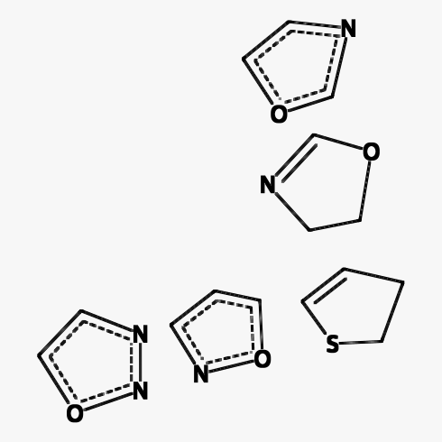 C1=CSCC1.C1=NCCO1.c1cnoc1.c1cocn1.c1conn1